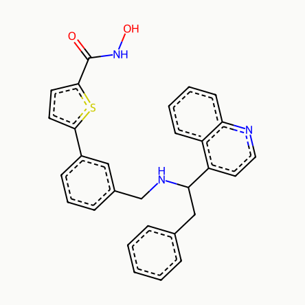 O=C(NO)c1ccc(-c2cccc(CNC(Cc3ccccc3)c3ccnc4ccccc34)c2)s1